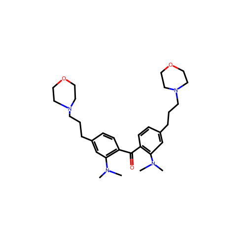 CN(C)c1cc(CCCN2CCOCC2)ccc1C(=O)c1ccc(CCCN2CCOCC2)cc1N(C)C